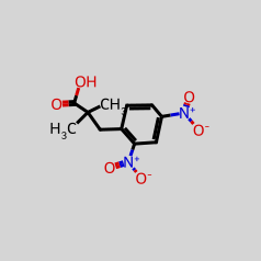 CC(C)(Cc1ccc([N+](=O)[O-])cc1[N+](=O)[O-])C(=O)O